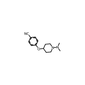 CN(C)N1CCC(Oc2ccc(C#N)cc2)CC1